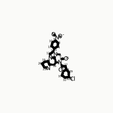 Cn1c(-c2ccc([N+](=O)[O-])cc2)cnc1C(Cc1ccccn1)N(C=O)c1cc2cc(Cl)ccc2o1